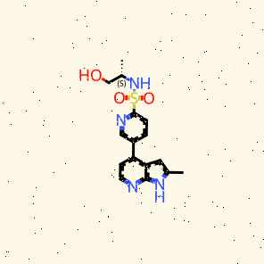 Cc1cc2c(-c3ccc(S(=O)(=O)N[C@@H](C)CO)nc3)ccnc2[nH]1